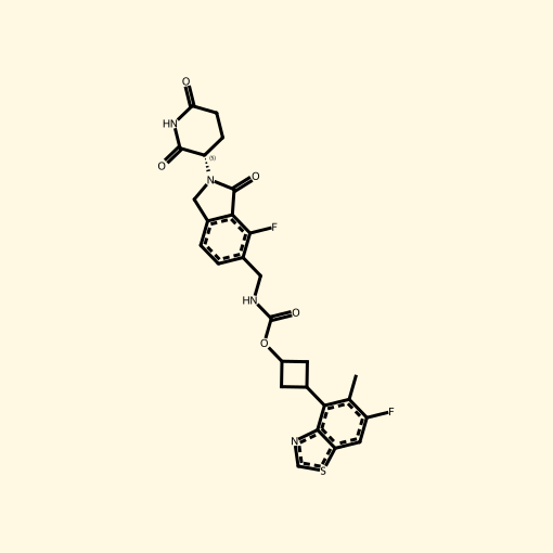 Cc1c(F)cc2scnc2c1C1CC(OC(=O)NCc2ccc3c(c2F)C(=O)N([C@H]2CCC(=O)NC2=O)C3)C1